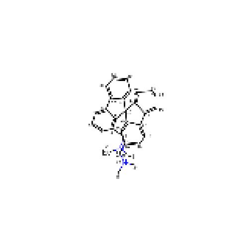 CCN(CC)Cc1cccc2c1C1(c3ccccc3-c3ccc(CN(C)C)cc31)c1ccccc1-2